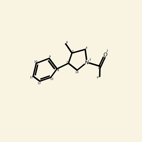 CC(=O)N1CC(C)C(c2ccccc2)C1